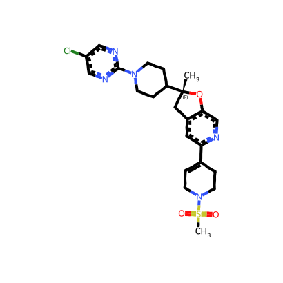 C[C@]1(C2CCN(c3ncc(Cl)cn3)CC2)Cc2cc(C3=CCN(S(C)(=O)=O)CC3)ncc2O1